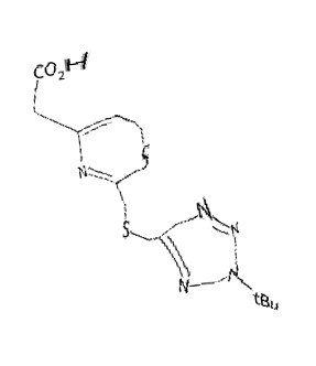 CC(C)(C)n1nnc(Sc2nc(CC(=O)O)cs2)n1